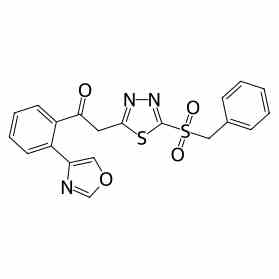 O=C(Cc1nnc(S(=O)(=O)Cc2ccccc2)s1)c1ccccc1-c1cocn1